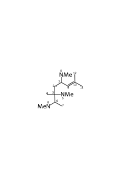 CNC([CH]C(C)(NC)C(C)NC)C=C(C)C